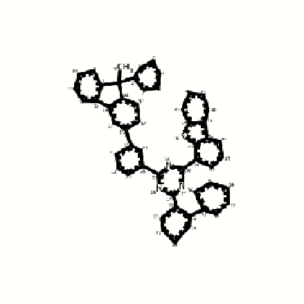 CC1(c2ccccc2)c2ccccc2-c2cc(-c3cccc(-c4nc(-c5ccccc5-c5ccccc5)nc(-c5cccc6c5sc5ccccc56)n4)c3)ccc21